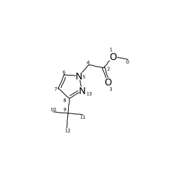 COC(=O)Cn1ccc(C(C)(C)C)n1